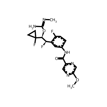 C/N=C(/N)O[C@@H]([C@H](F)c1cc(NC(=O)c2cnc(OC)cn2)ccc1F)C1(F)CC1